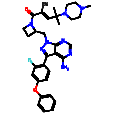 CN1CCN(C(C)(C)C=C(C#N)C(=O)N2CC[C@@H]2Cn2nc(-c3ccc(Oc4ccccc4)cc3F)c3c(N)ncnc32)CC1